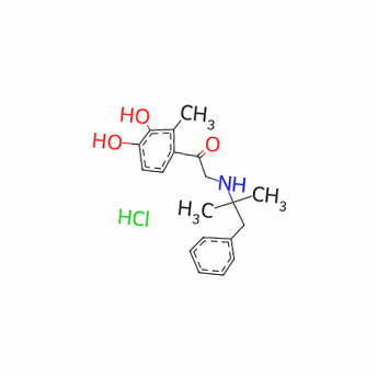 Cc1c(C(=O)CNC(C)(C)Cc2ccccc2)ccc(O)c1O.Cl